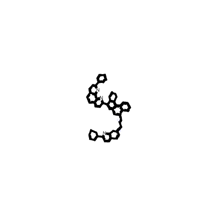 C1=CCCC(c2ccc3c(n2)C/C(=C\C=C\c2cc4cc(-c5ccc6ccc7ccc(-c8ccccc8)nc7c6n5)c5c(c4c4ccccc24)CCC=C5)C=C3)=C1